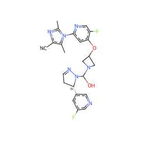 Cc1nc(C#N)c(C)n1-c1cc(OC2CN(C(O)N3N=CC[C@H]3c3cncc(F)c3)C2)c(F)cn1